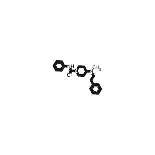 CN(CCc1ccccc1)C1CCN(C(=O)Nc2ccccc2)CC1